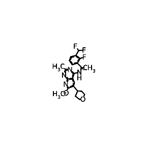 COc1nc2nc(C)nc(N[C@H](C)c3cccc(C(F)F)c3F)c2cc1C1CCOCC1